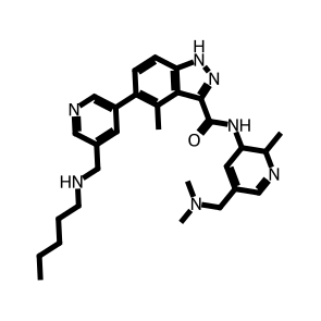 CCCCCNCc1cncc(-c2ccc3[nH]nc(C(=O)NC4C=C(CN(C)C)C=NC4C)c3c2C)c1